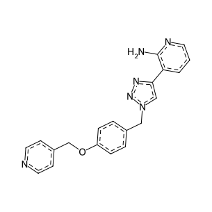 Nc1ncccc1-c1cn(Cc2ccc(OCc3ccncc3)cc2)nn1